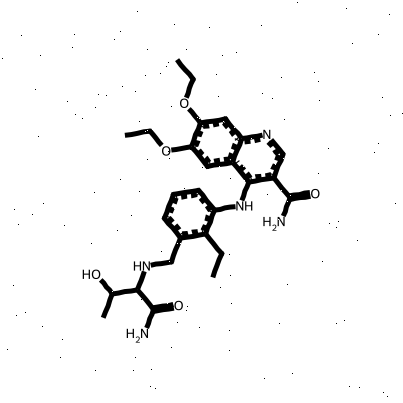 CCOc1cc2ncc(C(N)=O)c(Nc3cccc(CNC(C(N)=O)C(C)O)c3CC)c2cc1OCC